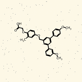 COc1ccc(-c2cc(COc3ccc(OCC(=O)O)c(C)c3)cc(-c3cccc(OC)c3)c2)cc1